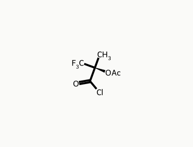 CC(=O)O[C@@](C)(C(=O)Cl)C(F)(F)F